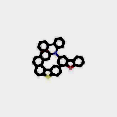 c1ccc(-c2ccccc2N(c2ccc3oc4ccccc4c3c2)c2ccc3ccc4ccc5sc6ccccc6c5c4c3c2)cc1